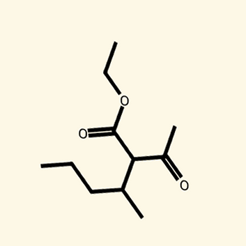 CCCC(C)C(C(C)=O)C(=O)OCC